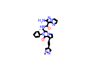 C[C@H](NC(=O)c1c(N)nn2cccnc12)c1cn2ccc(C#Cc3cnn(C)c3)c2c(=O)n1-c1ccccc1